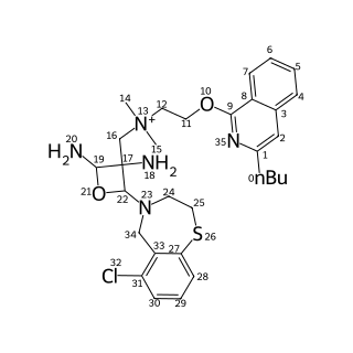 CCCCc1cc2ccccc2c(OCC[N+](C)(C)CC2(N)C(N)OC2N2CCSc3cccc(Cl)c3C2)n1